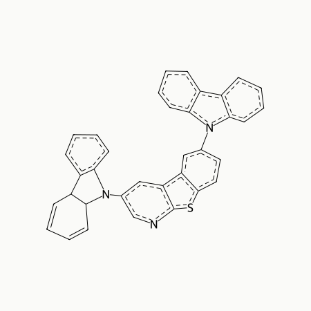 C1=CC2c3ccccc3N(c3cnc4sc5ccc(-n6c7ccccc7c7ccccc76)cc5c4c3)C2C=C1